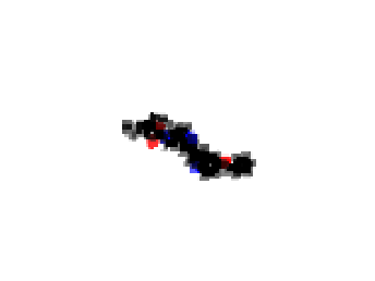 CCC(C)(C)OC(=O)N1CCC2(CCn3nc(-c4cnc5ccc(OCc6ccccc6)cc5c4)cc32)C1